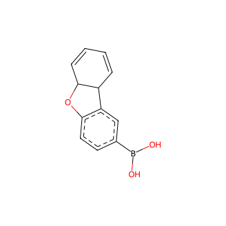 OB(O)c1ccc2c(c1)C1C=CC=CC1O2